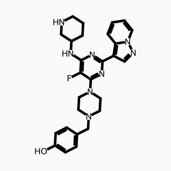 Oc1ccc(CN2CCN(c3nc(-c4cnn5ccccc45)nc(NC4CCCNC4)c3F)CC2)cc1